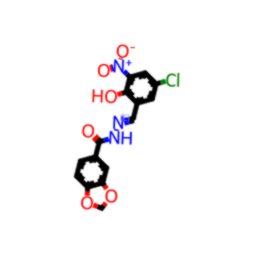 O=C(N/N=C/c1cc(Cl)cc([N+](=O)[O-])c1O)c1ccc2c(c1)OCO2